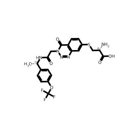 C[C@H](NC(=O)Cn1nnc2cc(SC[C@H](N)C(=O)O)ccc2c1=O)c1ccc(OC(F)(F)F)cc1